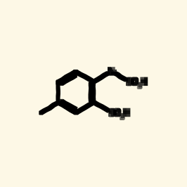 Cc1ccc([N]S(=O)(=O)O)c(S(=O)(=O)O)c1